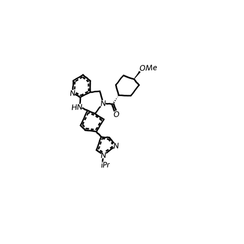 CO[C@H]1CC[C@H](C(=O)N2Cc3cccnc3Nc3ccc(-c4cnn(C(C)C)c4)cc32)CC1